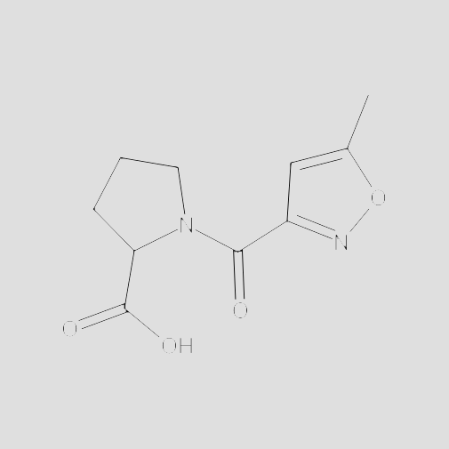 Cc1cc(C(=O)N2CCCC2C(=O)O)no1